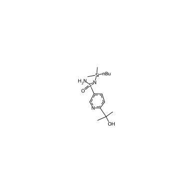 CCCC[Si](C)(C)N=S(N)(=O)c1ccc(C(C)(C)O)nc1